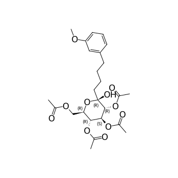 COc1cccc(CCCC[C@@]2(O)O[C@H](COC(C)=O)[C@@H](OC(C)=O)[C@H](OC(C)=O)[C@H]2OC(C)=O)c1